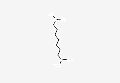 CCCCCN(C)CCCCCCCN(C)CCCC